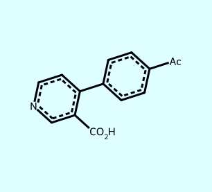 CC(=O)c1ccc(-c2ccncc2C(=O)O)cc1